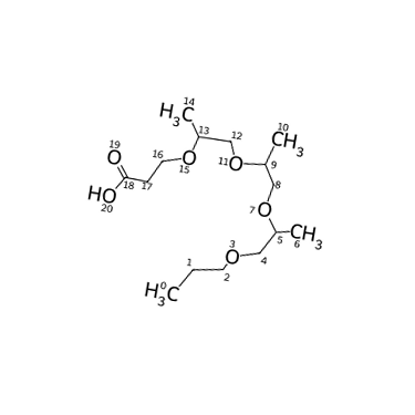 CCCOCC(C)OCC(C)OCC(C)OCCC(=O)O